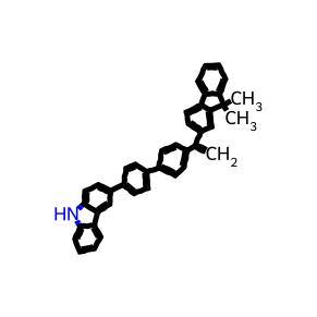 C=C(c1ccc(-c2ccc(-c3ccc4[nH]c5ccccc5c4c3)cc2)cc1)c1ccc2c(c1)C(C)(C)c1ccccc1-2